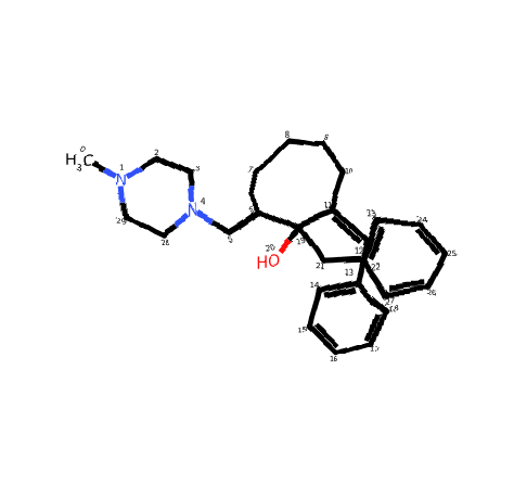 CN1CCN(CC2CCCCC(=Cc3ccccc3)C2(O)Cc2ccccc2)CC1